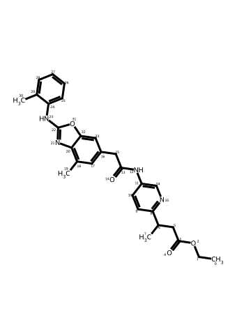 CCOC(=O)CC(C)c1ccc(NC(=O)Cc2cc(C)c3nc(Nc4ccccc4C)oc3c2)cn1